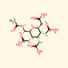 CC(=O)OC[C@H]1O[C@@H](CC(=O)O)[C@H](CC(=O)O)[C@H](CC(=O)O)[C@@H]1CC(=O)O